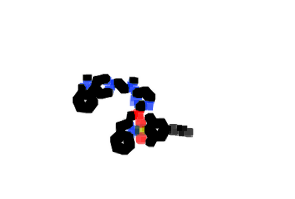 COc1cc(C)c(S(=O)(=O)N2c3ccccc3C[C@H]2COc2nccc(N(C)CCN3CCC(c4ccccc4)(N(C)C)CC3)n2)c(C)c1